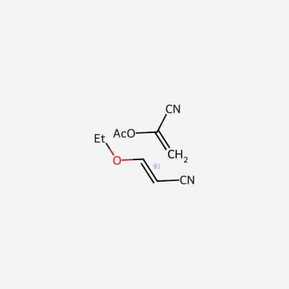 C=C(C#N)OC(C)=O.CCO/C=C/C#N